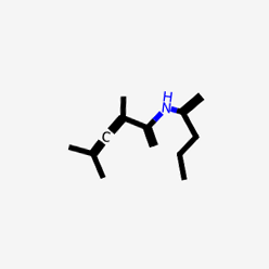 C=C(CCC)NC(=C)C(C)=C=C(C)C